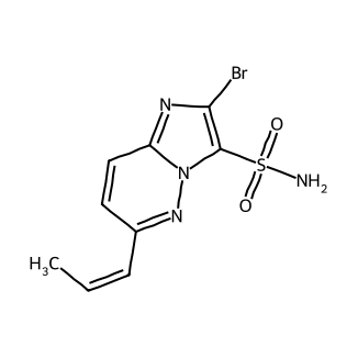 C/C=C\c1ccc2nc(Br)c(S(N)(=O)=O)n2n1